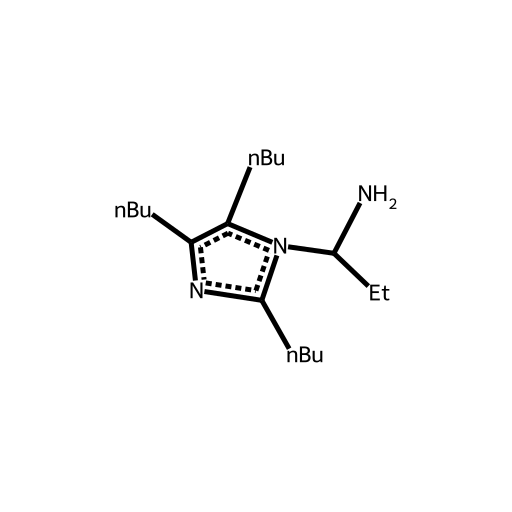 CCCCc1nc(CCCC)n(C(N)CC)c1CCCC